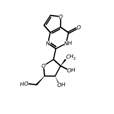 C[C@]1(O)C(c2nc3ccoc3c(=O)[nH]2)O[C@H](CO)[C@H]1O